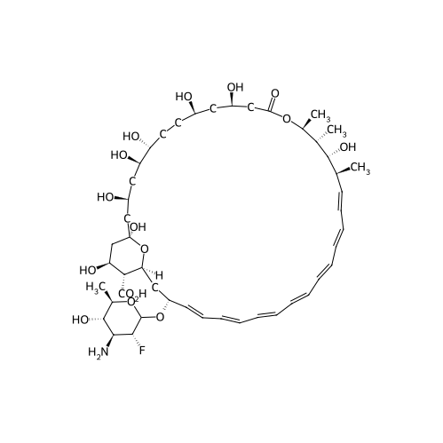 C[C@@H]1[C@H](O)[C@@H](C)/C=C/C=C/C=C/C=C/C=C/C=C/C=C/[C@H](OC2O[C@H](C)[C@@H](O)[C@H](N)[C@H]2F)C[C@@H]2O[C@](O)(C[C@@H](O)C[C@@H](O)[C@H](O)CC[C@@H](O)C[C@@H](O)CC(=O)O[C@H]1C)C[C@H](O)[C@H]2C(=O)O